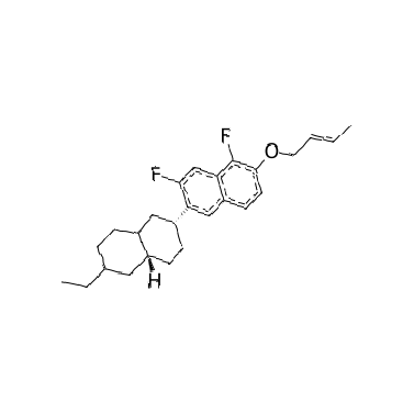 C/C=C/COc1ccc2cc([C@@H]3CC[C@@H]4CC(CC)CCC4C3)c(F)cc2c1F